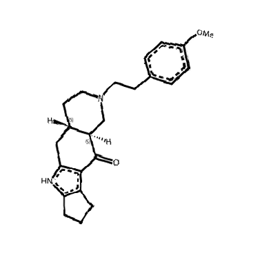 COc1ccc(CCN2CC[C@H]3Cc4[nH]c5c(c4C(=O)[C@@H]3C2)CCC5)cc1